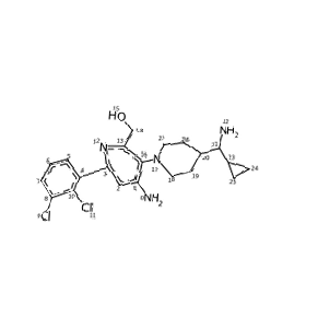 Nc1cc(-c2cccc(Cl)c2Cl)nc(CO)c1N1CCC(C(N)C2CC2)CC1